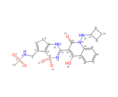 CS(=O)(=O)NCc1csc2c1S(=O)(=O)N=C(c1c(O)c3ccccc3n(NC3CCC3)c1=O)N2